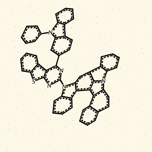 c1ccc(-n2c3ccccc3c3ccc(-c4nc(-n5c6ccccc6c6c7c8c9ccccc9ccc8n8c9ccccc9c(cc65)c78)nc5sc6ccccc6c45)cc32)cc1